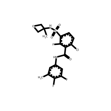 Cc1cc(NC(=O)c2c(Cl)ccc(S(=O)(=O)NC3(C)COC3)c2F)cc(F)c1F